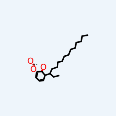 CCCCCCCCCCCCC(CC)C1C=CC=C(O[C]=O)C1=O